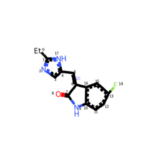 CCc1ncc(/C=C2\C(=O)Nc3ccc(F)cc32)[nH]1